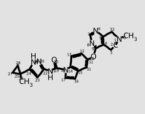 CN1CCc2c(ncnc2Oc2ccc3c(ccn3C(=O)Nc3cc(C4(C)CC4)[nH]n3)c2)C1